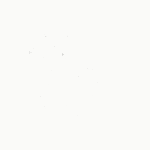 Cc1cccc(Cl)c1S(=O)(=O)n1cc2c3c(cccc31)CNCC2.O=C(O)C(F)(F)F